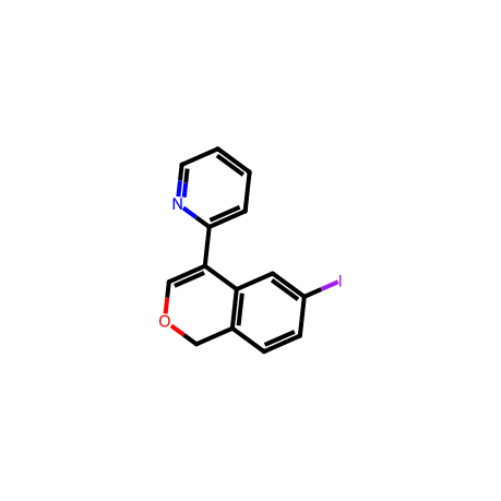 Ic1ccc2c(c1)C(c1ccccn1)=COC2